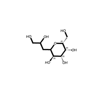 OCC(O)CC1O[C@H](CO)[C@H](O)[C@H](O)[C@H]1O